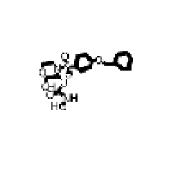 CC1OCCN(S(=O)(=O)c2ccc(OCc3ccccc3)cc2)C1OC(=O)NO